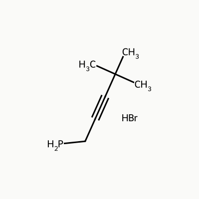 Br.CC(C)(C)C#CCP